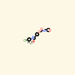 COc1cc(-c2ccc(OCC(=O)NCC3CCOCC3)cc2)nn1-c1ccc(Cl)cc1